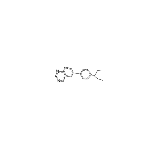 CCC(CC)c1ccc(-c2ccc3ncncc3c2)cc1